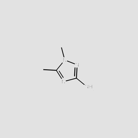 Cc1nc(N)nn1C